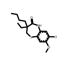 CCCCC1(CC)CSc2cc(OC)c(Cl)cc2NC1=O